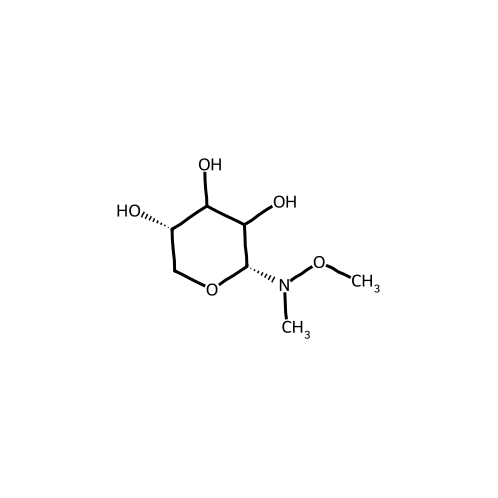 CON(C)[C@@H]1OC[C@H](O)C(O)C1O